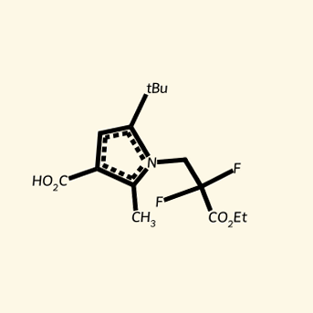 CCOC(=O)C(F)(F)Cn1c(C(C)(C)C)cc(C(=O)O)c1C